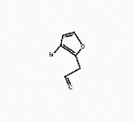 O=CCc1occc1Br